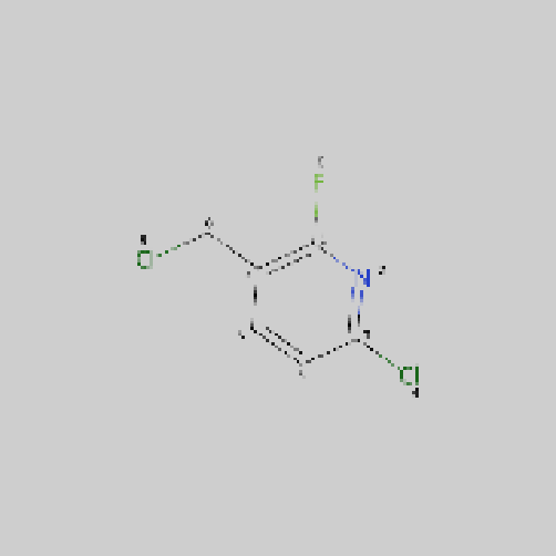 Fc1nc(Cl)ccc1CCl